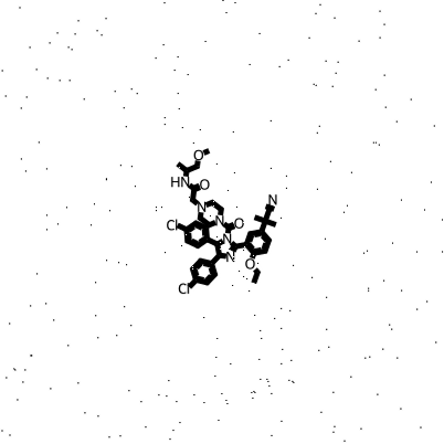 CCOc1ccc(C(C)(C)C#N)cc1C1=NC(c2ccc(Cl)cc2)C(c2ccc(Cl)cc2)N1C(=O)N1CCN(CC(=O)NC(C)COC)CC1